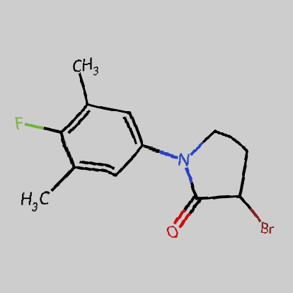 Cc1cc(N2CCC(Br)C2=O)cc(C)c1F